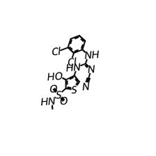 CNS(=O)(=O)c1scc(N/C(=N\C#N)Nc2cccc(Cl)c2Cl)c1O